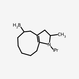 BC1CCCCCC2=C(C1)CC(C)N2C(C)C